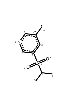 CC(C)S(=O)(=O)c1cncc(Cl)c1